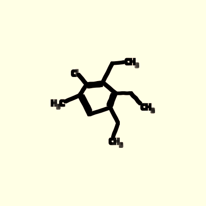 CCc1cc(C)c(Cl)c(CC)c1CC